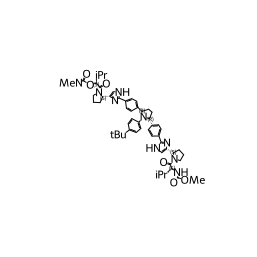 CNC(=O)O[C@H](C(=O)N1CCC[C@H]1c1c[nH]c(-c2ccc([C@H]3CC[C@H](c4ccc(-c5nc([C@@H]6CCCN6C(=O)[C@@H](NC(=O)OC)C(C)C)c[nH]5)cc4)N3c3ccc(C(C)(C)C)cc3)cc2)n1)C(C)C